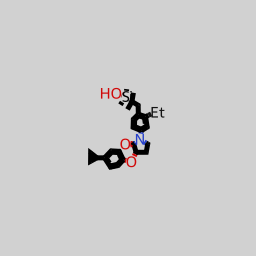 CCc1cc(N2CCC(Oc3ccc(C4CC4)cc3)C2=O)ccc1CC(C)(C)[Si](C)(C)O